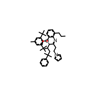 CCCc1cccc(CCC)c1/N=C(/CCn1cccc1)[C@H](Oc1c(C(C)(C)C)cc(C)cc1C(C)(C)C)C(C)CC(C)(C)c1ccccc1